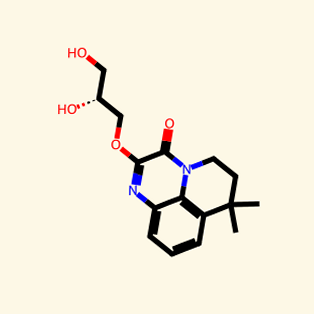 CC1(C)CCn2c(=O)c(OC[C@H](O)CO)nc3cccc1c32